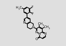 Cc1cc(F)c(F)c(-c2cnc3c(c2)CN(c2nn4c(=O)ccnc4c(C)c2C)CC3)c1